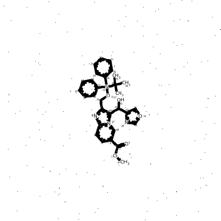 COC(=O)c1ccc2nc(CO[Si](c3ccccc3)(c3ccccc3)C(C)(C)C)c(C(O)c3cocn3)n2c1